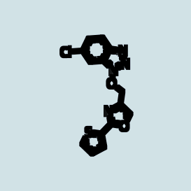 Clc1ccc2nnn(OCc3coc(-c4cccs4)n3)c2c1